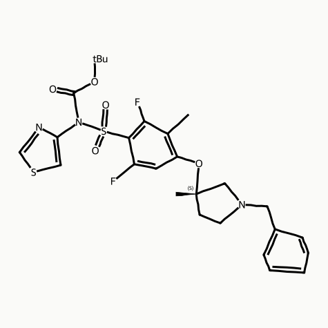 Cc1c(O[C@@]2(C)CCN(Cc3ccccc3)C2)cc(F)c(S(=O)(=O)N(C(=O)OC(C)(C)C)c2cscn2)c1F